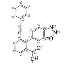 O=C(O)c1cccc(C#Cc2ccccc2)c1-c1ccc2nnoc2c1